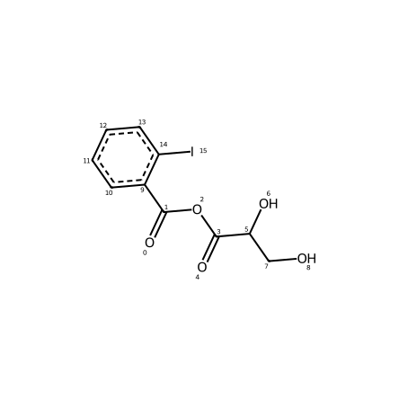 O=C(OC(=O)C(O)CO)c1ccccc1I